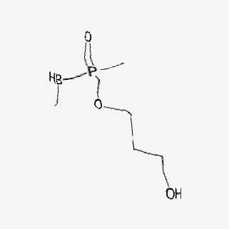 CBP(C)(=O)OCCCO